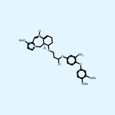 CCC(CCOC1CCC=C2[C@@H]1Cn1ccc(OC)c1C=[N+]2[O-])Oc1ccc(Oc2ccc(OC)c(OC)c2)c([N+](=O)[O-])c1